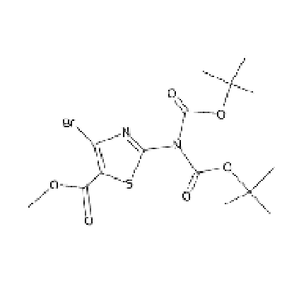 COC(=O)c1sc(N(C(=O)OC(C)(C)C)C(=O)OC(C)(C)C)nc1Br